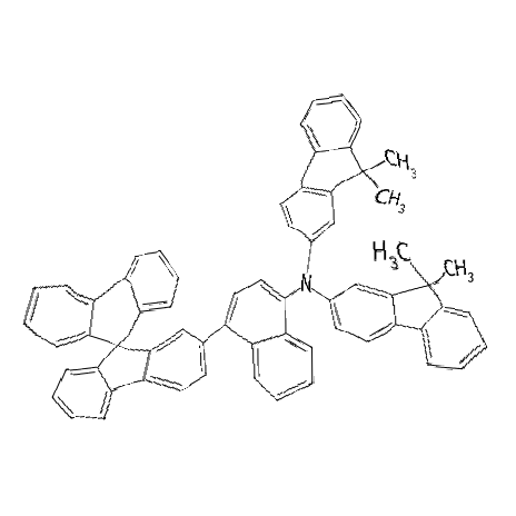 CC1(C)C2=C=C=CC=C2c2ccc(N(c3ccc4c(c3)C(C)(C)c3ccccc3-4)c3ccc(-c4ccc5c(c4)C4(c6ccccc6-c6ccccc64)c4ccccc4-5)c4ccccc34)cc21